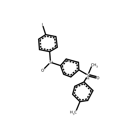 Cc1ccc([SH](C)(=O)c2ccc([S+]([O-])c3ccc(I)cc3)cc2)cc1